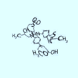 CC[C@H](CC(=O)O)c1ccc(N(CC(C)C)C2CCS(=O)(=O)CC2)c(Nc2ccc3sc(C)nc3c2)c1